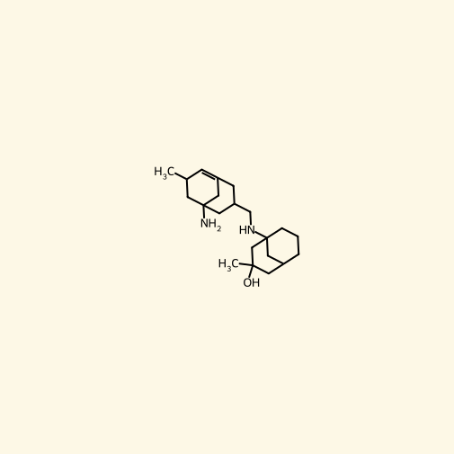 CC1C=C2CC(CNC34CCCC(CC(C)(O)C3)C4)CC(N)(C2)C1